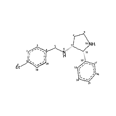 CCc1ccc(CN[C@@H]2CCN[C@@H]2c2ccccc2)cc1